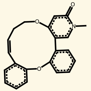 Cn1cc2c(cc1=O)OCCC=Cc1ccccc1Oc1ccccc1-2